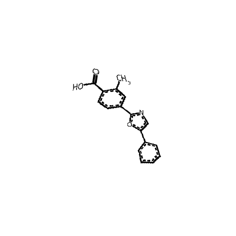 Cc1cc(-c2ncc(-c3ccccc3)o2)ccc1C(=O)O